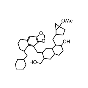 COC12CCC(CC3C(O)CCC4CC(CO)C(Cc5c6c(cc7c5C(CC5CCCCC5)CCC7)OCO6)CC43)C1C2